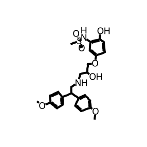 COc1ccc(C(CNCC(O)COc2ccc(O)c(NS(C)(=O)=O)c2)c2ccc(OC)cc2)cc1